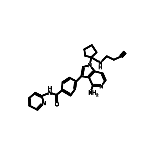 C#CCCNC1(n2cc(-c3ccc(C(=O)Nc4ccccn4)cc3)c3c(N)nccc32)CCCC1